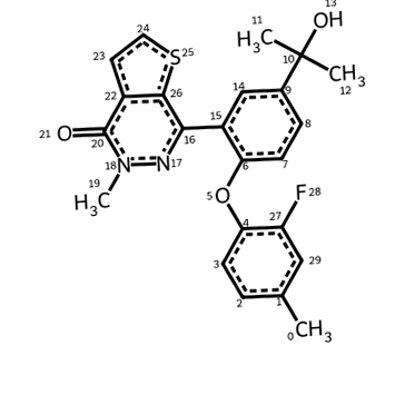 Cc1ccc(Oc2ccc(C(C)(C)O)cc2-c2nn(C)c(=O)c3ccsc23)c(F)c1